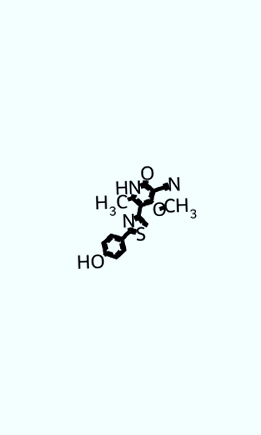 COc1c(-c2csc(-c3ccc(O)cc3)n2)c(C)[nH]c(=O)c1C#N